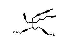 C#CCCCCC(CC#C)(CC#CC#CC)[C](C#CCCCC)CCC#CCC